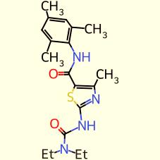 CCN(CC)C(=O)Nc1nc(C)c(C(=O)Nc2c(C)cc(C)cc2C)s1